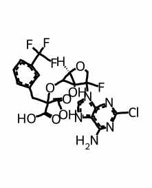 Nc1nc(Cl)nc2c1ncn2C1(F)CO[C@@H]2C(OC(Cc3cccc(C(F)(F)F)c3)(C(=O)O)C(=O)O)[C@@]21O